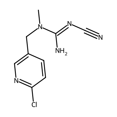 CN(Cc1ccc(Cl)nc1)/C(N)=N/C#N